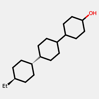 CC[C@H]1CC[C@H](C2CCC(C3CCC(O)CC3)CC2)CC1